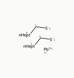 CCCCCCCC[S-].CCCCCCCC[S-].[Pb+2]